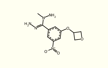 CN(N)/C(=N\N)c1cc(OC2COC2)cc([N+](=O)[O-])c1